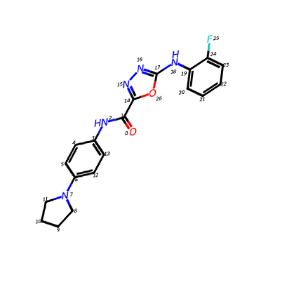 O=C(Nc1ccc(N2CCCC2)cc1)c1nnc(Nc2ccccc2F)o1